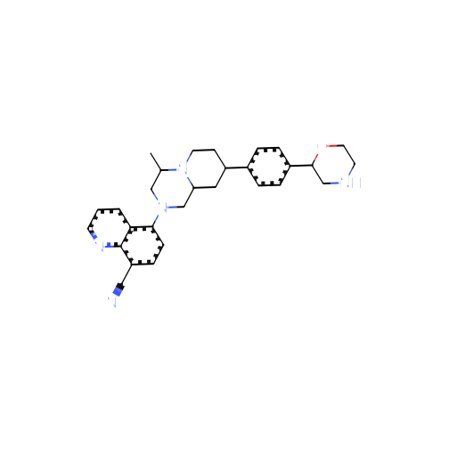 CC1CN(c2ccc(C#N)c3ncccc23)CC2CC(c3ccc(C4CNCCO4)cc3)CCN12